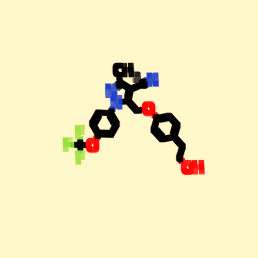 Cc1nn(-c2ccc(OC(F)(F)F)cc2)c(COc2ccc(CCO)cc2)c1C#N